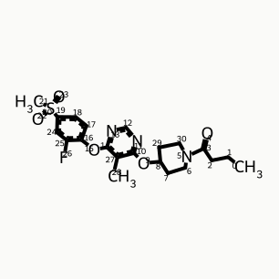 CCCC(=O)N1CCC(Oc2ncnc(Oc3ccc(S(C)(=O)=O)cc3F)c2C)CC1